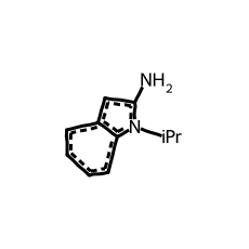 CC(C)n1c(N)cc2ccccc21